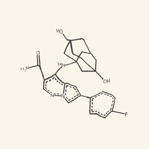 NC(=O)c1cnn2cc(-c3ccc(F)cc3)cc2c1NC12CC3CC(O)(CC(O)(C3)C1)C2